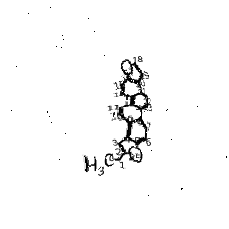 CCc1cc2c(ccc3c2ccc2c4ccc5occc5c4ccc32)o1